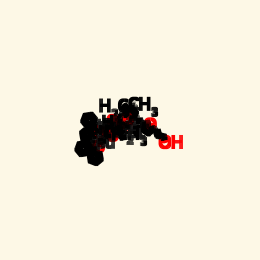 C=C1C[C@H](C=CCO)O[C@H]1CC[C@H]1C[C@@H](C)C(=C)[C@@H](C[C@@H]2O[C@H]3C[C@@H](O[Si](c4ccccc4)(c4ccccc4)C(C)(C)C)[C@@H](CCO[Si](c4ccccc4)(c4ccccc4)C(C)(C)C)O[C@H]3[C@H](C)[C@H]2O[Si](CC)(CC)CC)O1